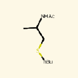 CCCCSCC(C)NC(C)=O